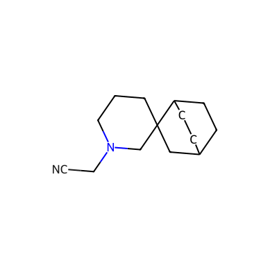 N#CCN1CCCC2(CC3CCC2CC3)C1